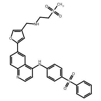 CS(=O)(=O)CCNCc1coc(-c2ccc3nccc(Nc4ccc(S(=O)(=O)c5ccccc5)cc4)c3c2)c1